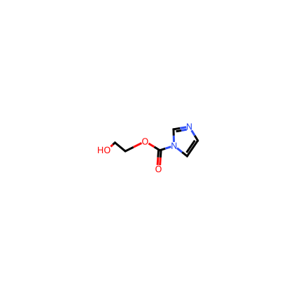 O=C(OCCO)n1ccnc1